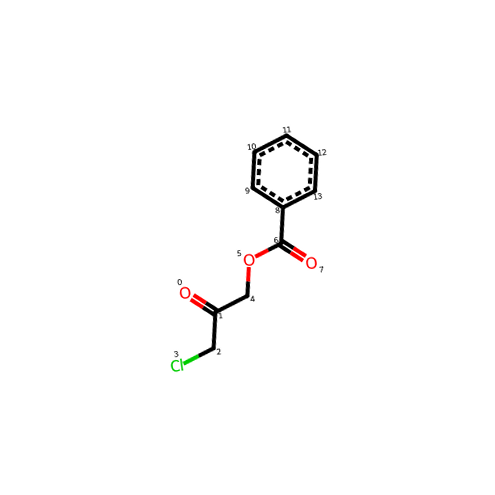 O=C(CCl)COC(=O)c1ccccc1